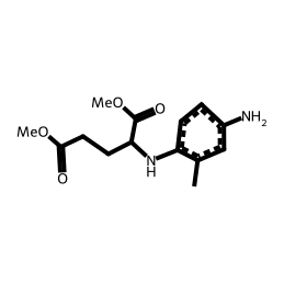 COC(=O)CCC(Nc1ccc(N)cc1C)C(=O)OC